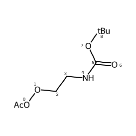 CC(=O)OOCCNC(=O)OC(C)(C)C